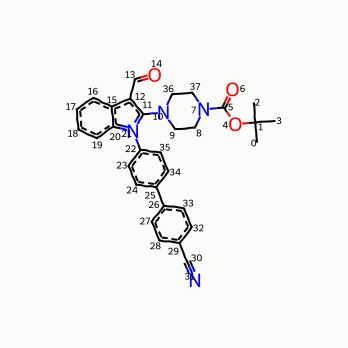 CC(C)(C)OC(=O)N1CCN(c2c(C=O)c3ccccc3n2-c2ccc(-c3ccc(C#N)cc3)cc2)CC1